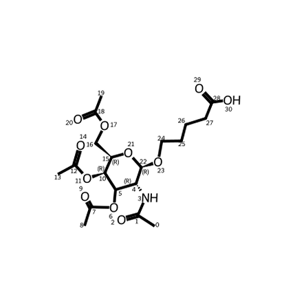 CC(=O)N[C@@H]1C(OC(C)=O)[C@@H](OC(C)=O)[C@@H](COC(C)=O)O[C@H]1OCCCCC(=O)O